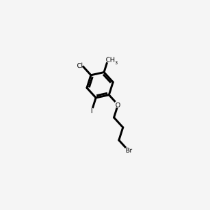 Cc1cc(OCCCBr)c(I)cc1Cl